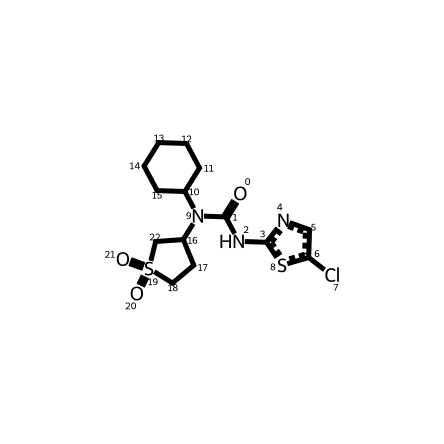 O=C(Nc1ncc(Cl)s1)N(C1CCCCC1)C1CCS(=O)(=O)C1